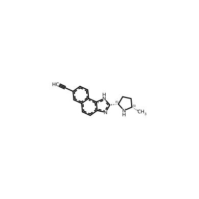 C#Cc1ccc2c(ccc3nc([C@@H]4CC[C@H](C)N4)[nH]c32)c1